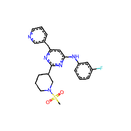 CS(=O)(=O)N1CCCC(c2nc(Nc3cccc(F)c3)cc(-c3cccnc3)n2)C1